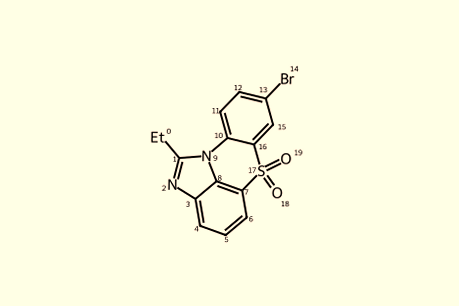 CCc1nc2cccc3c2n1-c1ccc(Br)cc1S3(=O)=O